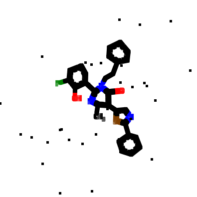 Cc1nc(-c2cccc(F)c2O)n(CCc2ccccc2)c(=O)c1-c1cnc(-c2ccccc2)s1